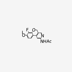 CC(=O)Nc1cc2c(cn1)COc1c-2ccc(OI)c1F